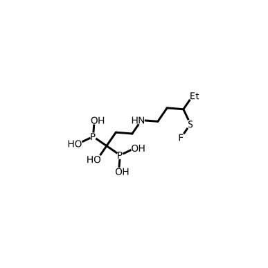 CCC(CCNCCC(O)(P(O)O)P(O)O)SF